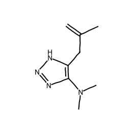 C=C(C)Cc1[nH]nnc1N(C)C